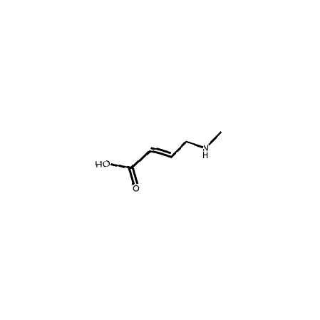 CNC/C=C/C(=O)O